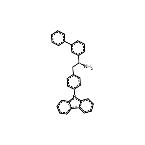 N[C@@H](Cc1ccc(-n2c3ccccc3c3ccccc32)cc1)c1cccc(-c2ccccc2)c1